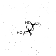 O=C(O)C(F)(F)OC(O)C(F)(F)F